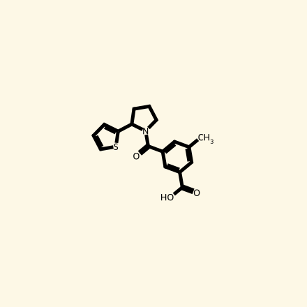 Cc1cc(C(=O)O)cc(C(=O)N2CCCC2c2cccs2)c1